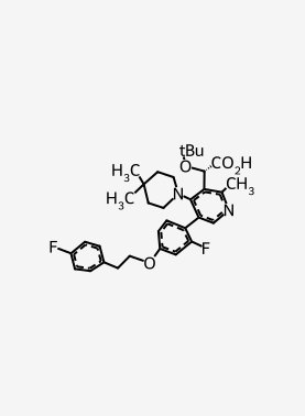 Cc1ncc(-c2ccc(OCCc3ccc(F)cc3)cc2F)c(N2CCC(C)(C)CC2)c1[C@H](OC(C)(C)C)C(=O)O